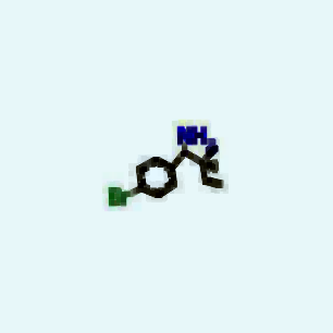 C=C[C@H](C)C(N)c1ccc(Br)cc1